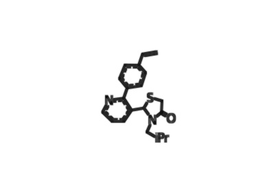 C=Cc1ccc(-c2ncccc2C2SCC(=O)N2CC(C)C)cc1